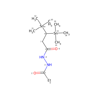 CCC(=O)NNC(=O)C[CH]([Sn]([CH3])([CH3])[CH3])[Sn]([CH3])([CH3])[CH3]